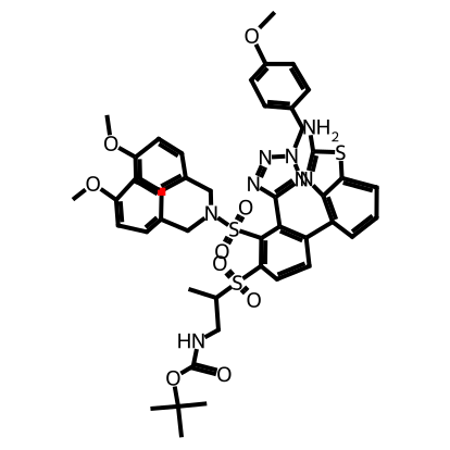 COc1ccc(CN(Cc2ccc(OC)cc2)S(=O)(=O)c2c(S(=O)(=O)C(C)CNC(=O)OC(C)(C)C)ccc(-c3cccc4sc(N)nc34)c2-c2nnn(Cc3ccc(OC)cc3)n2)cc1